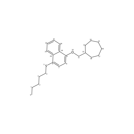 CCCCCSc1ccc(OCC2CCCCCC2)c2ccccc12